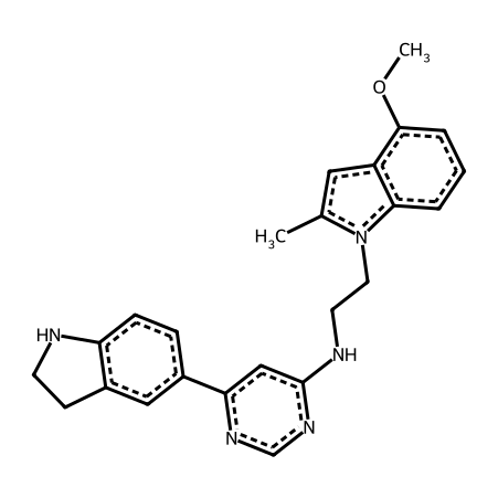 COc1cccc2c1cc(C)n2CCNc1cc(-c2ccc3c(c2)CCN3)ncn1